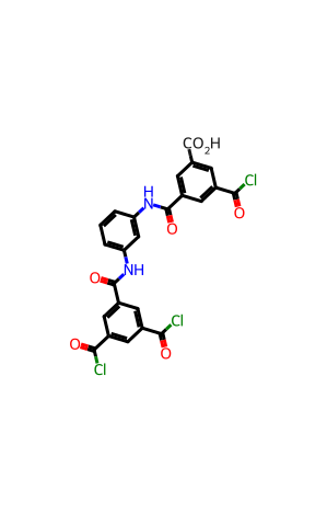 O=C(O)c1cc(C(=O)Cl)cc(C(=O)Nc2cccc(NC(=O)c3cc(C(=O)Cl)cc(C(=O)Cl)c3)c2)c1